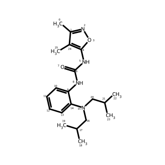 Cc1noc(NC(=O)Nc2ccccc2N(CC(C)C)CC(C)C)c1C